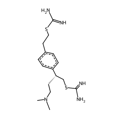 CN(C)CC[C@@H](CSC(=N)N)c1ccc(CCSC(=N)N)cc1